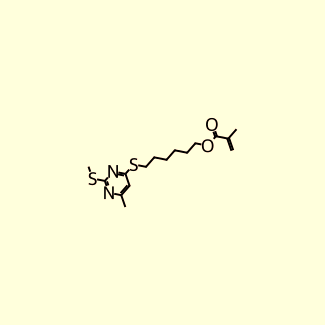 C=C(C)C(=O)OCCCCCCSc1cc(C)nc(SC)n1